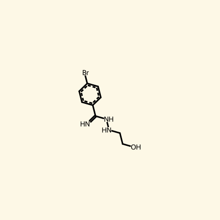 N=C(NNCCO)c1ccc(Br)cc1